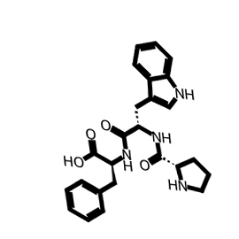 O=C(O)[C@H](Cc1ccccc1)NC(=O)[C@H](Cc1c[nH]c2ccccc12)NC(=O)[C@@H]1CCCN1